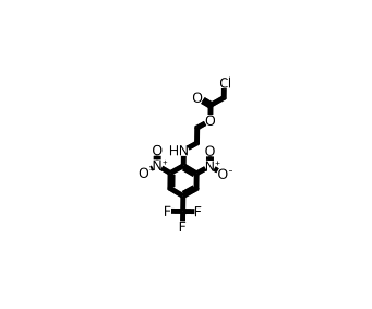 O=C(CCl)OCCNc1c([N+](=O)[O-])cc(C(F)(F)F)cc1[N+](=O)[O-]